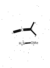 C=C=C(C)C.CO[SiH3]